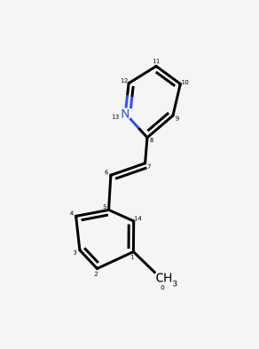 Cc1cccc(C=Cc2ccccn2)c1